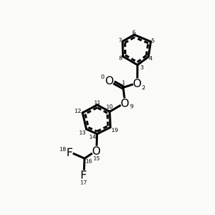 O=C(Oc1ccccc1)Oc1cccc(OC(F)F)c1